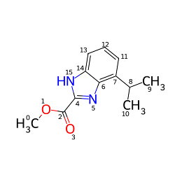 COC(=O)c1nc2c(C(C)C)cccc2[nH]1